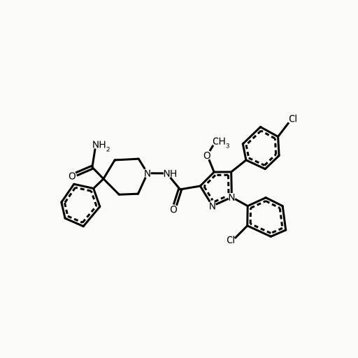 COc1c(C(=O)NN2CCC(C(N)=O)(c3ccccc3)CC2)nn(-c2ccccc2Cl)c1-c1ccc(Cl)cc1